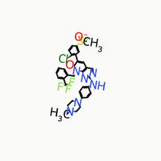 CN1CCN(c2ccc(Nc3ncc4cc(-c5cc([S+](C)[O-])ccc5Cl)c(=O)n(Cc5ccccc5C(F)(F)F)c4n3)cc2)CC1